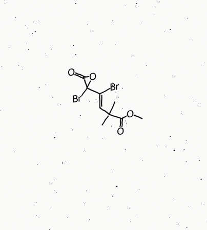 COC(=O)C(C)(C)C=C(Br)C1(Br)OC1=O